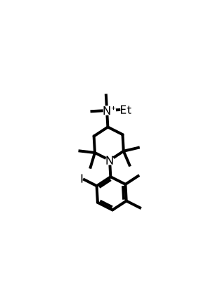 CC[N+](C)(C)C1CC(C)(C)N(c2c(I)ccc(C)c2C)C(C)(C)C1